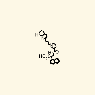 O=C(NCC(C(=O)O)c1cccc2ccccc12)C1CCCN(CCCc2ccc3c(n2)NCCC3)C1